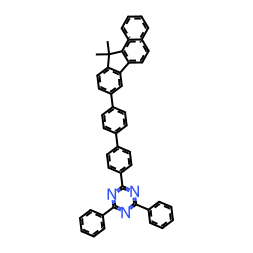 CC1(C)c2ccc(-c3ccc(-c4ccc(-c5nc(-c6ccccc6)nc(-c6ccccc6)n5)cc4)cc3)cc2-c2ccc3ccccc3c21